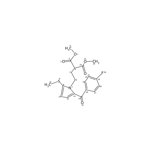 COC(=O)C(CCn1c(SC)ccc1C(=O)c1ccc(F)cc1)C(=O)OC